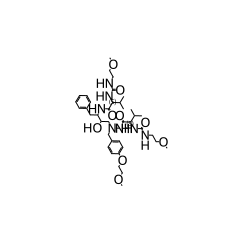 COCCNC(=O)N[C@H](C(=O)NC(Cc1ccccc1)C(O)CN(Cc1ccc(OCCOC)cc1)NC(=O)[C@@H](NC(=O)NCCOC)C(C)C)C(C)C